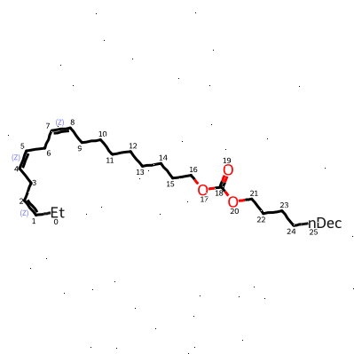 CC/C=C\C/C=C\C/C=C\CCCCCCCCOC(=O)OCCCCCCCCCCCCCC